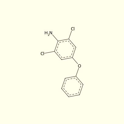 Nc1c(Cl)cc(Oc2ccccc2)cc1Cl